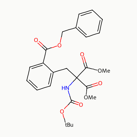 COC(=O)C(Cc1ccccc1C(=O)OCc1ccccc1)(NC(=O)OC(C)(C)C)C(=O)OC